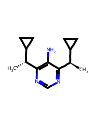 C[C@@H](c1ncnc([C@H](C)C2CC2)c1N)C1CC1